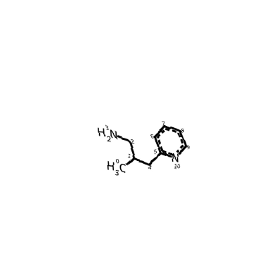 CC(CN)Cc1ccccn1